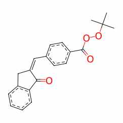 CC(C)(C)OOC(=O)c1ccc(C=C2Cc3ccccc3C2=O)cc1